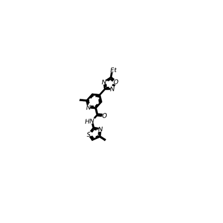 CCc1nc(-c2cc(C)nc(C(=O)Nc3nc(C)cs3)c2)no1